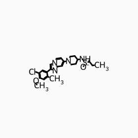 CCC[S+]([O-])NC1CCN(c2ccn3cc(-c4cc(Cl)c(OC)cc4C)nc3c2)CC1